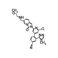 COCCNCc1ccc2cn(-c3cc(-c4ccc(C#N)cc4-c4nncn4C)cc(C4CC4)n3)c(=O)n2c1